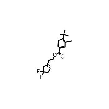 Cc1cc(C(=O)OCCN2CCC(F)(F)C2)ccc1C(C)(C)C